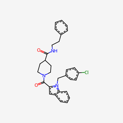 O=C(NCCc1ccccc1)C1CCN(C(=O)c2cc3ccccc3n2Cc2ccc(Cl)cc2)CC1